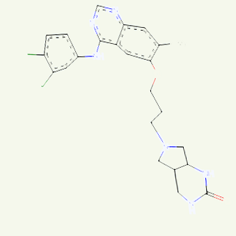 COc1cc2ncnc(Nc3ccc(F)c(Cl)c3)c2cc1OCCCN1CC2CNC(=O)NC2C1